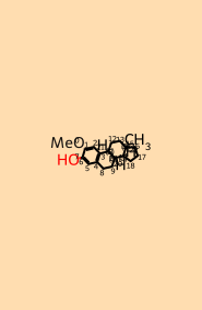 COc1cc2c(cc1O)CC[C@@H]1[C@@H]2CC[C@]2(C)CCC[C@@H]12